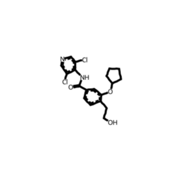 O=C(Nc1c(Cl)cncc1Cl)c1ccc(CCO)c(OC2CCCC2)c1